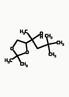 CC(C)(C)CC(C)(O)C1COC(C)(C)O1